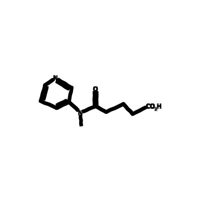 CN(C(=O)CCCC(=O)O)c1cccnc1